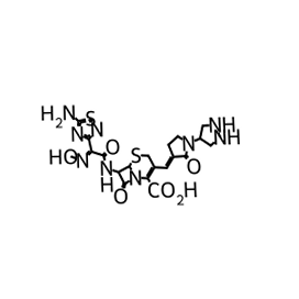 Nc1nc(C(=NO)C(=O)NC2C(=O)N3C(C(=O)O)=C(C=C4CCN(C5CNNC5)C4=O)CSC23)ns1